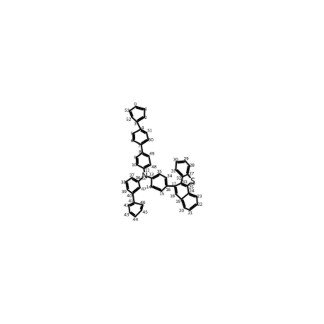 c1ccc(-c2ccc(-c3ccc(N(c4ccc(-c5cc6ccccc6c6sc7ccccc7c56)cc4)c4cccc(-c5ccccc5)c4)cc3)cc2)cc1